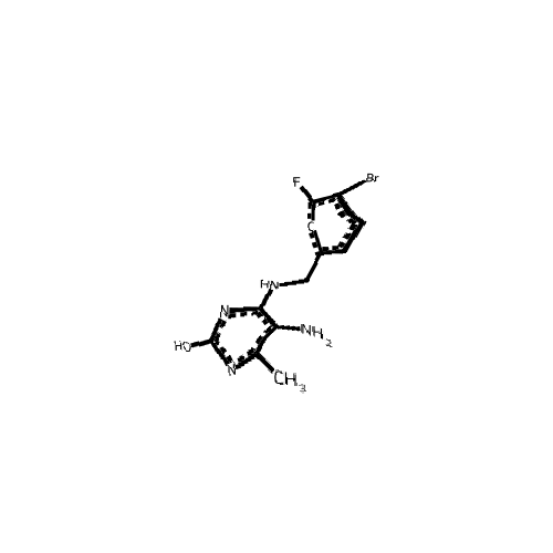 Cc1nc(O)nc(NCc2ccc(Br)c(F)c2)c1N